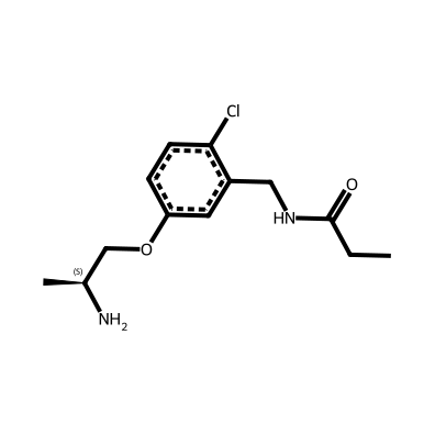 CCC(=O)NCc1cc(OC[C@H](C)N)ccc1Cl